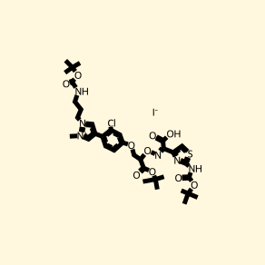 C[n+]1cc(-c2ccc(OCC(ON=C(C(=O)O)c3csc(NC(=O)OC(C)(C)C)n3)C(=O)OC(C)(C)C)cc2Cl)cn1CCCNC(=O)OC(C)(C)C.[I-]